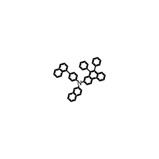 c1ccc(-c2c(-c3ccccc3)c3cc(N(c4ccc(-c5cccc6ccccc56)cc4)c4ccc5ccccc5c4)ccc3c3ccccc23)cc1